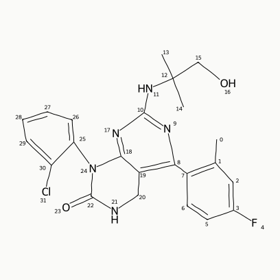 Cc1cc(F)ccc1-c1nc(NC(C)(C)CO)nc2c1CNC(=O)N2c1ccccc1Cl